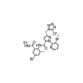 CCNC(=O)c1cc(Br)cc(C)c1NC(=O)c1cc(Cn2nnnc2C(F)(F)F)nn1-c1ncccc1Br